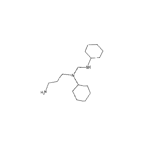 NCCCN(CNC1CCCCC1)C1CCCCC1